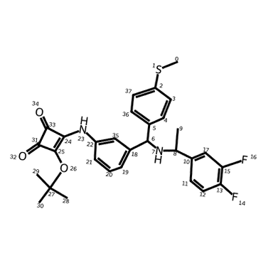 CSc1ccc(C(NC(C)c2ccc(F)c(F)c2)c2cccc(Nc3c(OC(C)(C)C)c(=O)c3=O)c2)cc1